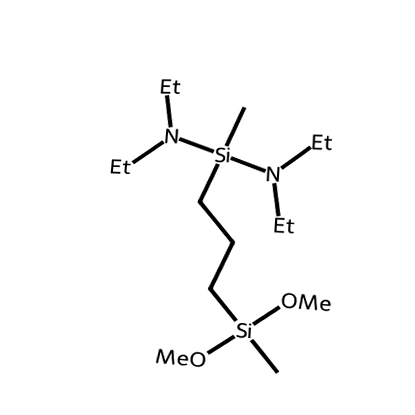 CCN(CC)[Si](C)(CCC[Si](C)(OC)OC)N(CC)CC